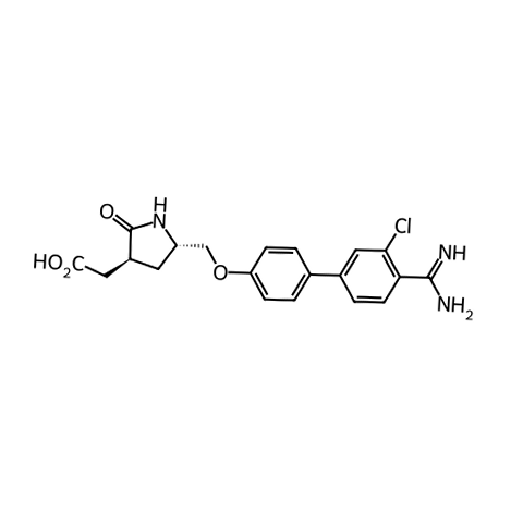 N=C(N)c1ccc(-c2ccc(OC[C@@H]3C[C@@H](CC(=O)O)C(=O)N3)cc2)cc1Cl